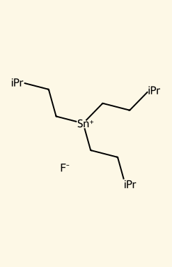 CC(C)C[CH2][Sn+]([CH2]CC(C)C)[CH2]CC(C)C.[F-]